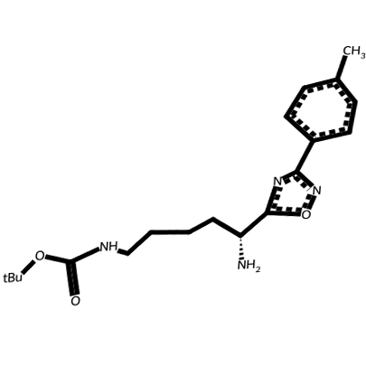 Cc1ccc(-c2noc([C@H](N)CCCCNC(=O)OC(C)(C)C)n2)cc1